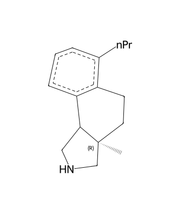 CCCc1cccc2c1CC[C@@]1(C)CNCC21